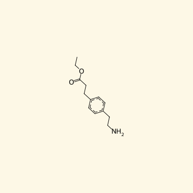 CCOC(=O)CCc1ccc(CCN)cc1